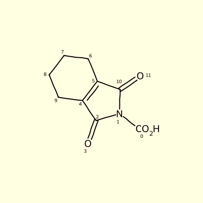 O=C(O)N1C(=O)C2=C(CCCC2)C1=O